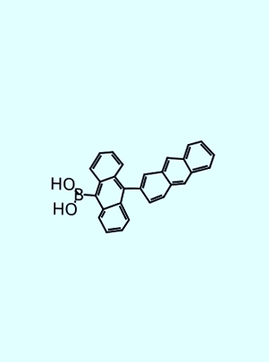 OB(O)c1c2ccccc2c(-c2ccc3cc4ccccc4cc3c2)c2ccccc12